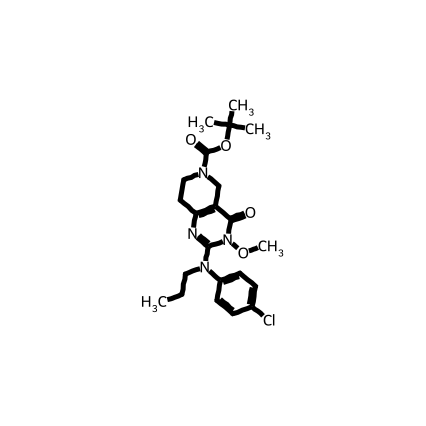 CCCN(c1ccc(Cl)cc1)c1nc2c(c(=O)n1OC)CN(C(=O)OC(C)(C)C)CC2